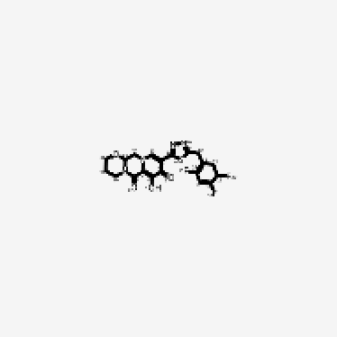 O=C1c2c(O)c(=O)c(-c3nnc(CC4=C(F)C=C(F)C(F)C4)s3)cn2CC2OCCCN12